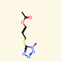 CC(=O)OC=CCSc1nnnn1C